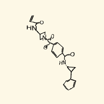 C=CC(=O)NC1CN(S(=O)(=O)c2ccc(C(=O)N[C@@H]3CC3c3ccccc3)cc2)C1